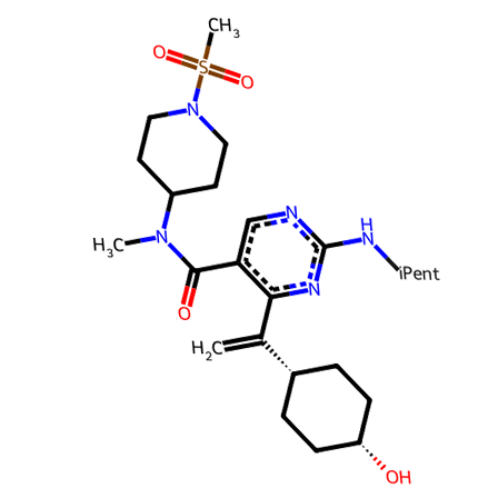 C=C(c1nc(NC(C)CCC)ncc1C(=O)N(C)C1CCN(S(C)(=O)=O)CC1)[C@H]1CC[C@@H](O)CC1